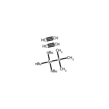 C#C.C#C.CCC[CH2][Sn]([CH2]CCC)([CH2]CCC)[Si](C)(C)C